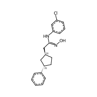 ON=C(C[C@H]1CC[C@H](c2ccccc2)C1)Nc1cccc(Cl)c1